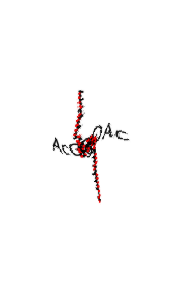 C/C=C(\C)CC/C=C(\C)CC/C=C(\C)CC/C=C(\C)CC/C=C(\C)CC/C=C(\C)CC/C=C(\C)Cc1c(C)c(OC(C)=O)c2ccccc2c1OC(=O)Oc1c(C/C=C(\C)CC/C=C(\C)CC/C=C(\C)CC/C=C(\C)CC/C=C(\C)CC/C=C(\C)CCC=C(C)C)c(C)c(OC(C)=O)c2ccccc12